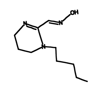 CCCCCN1CCCN=C1C=NO